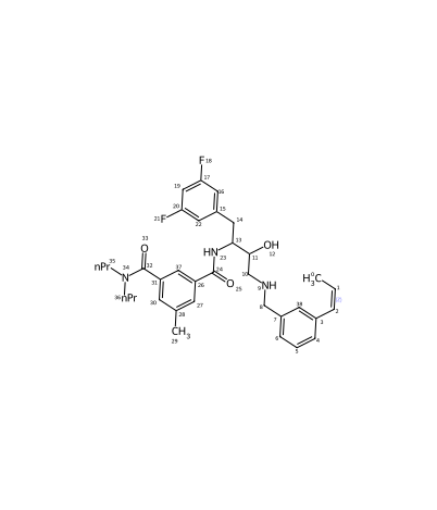 C/C=C\c1cccc(CNCC(O)C(Cc2cc(F)cc(F)c2)NC(=O)c2cc(C)cc(C(=O)N(CCC)CCC)c2)c1